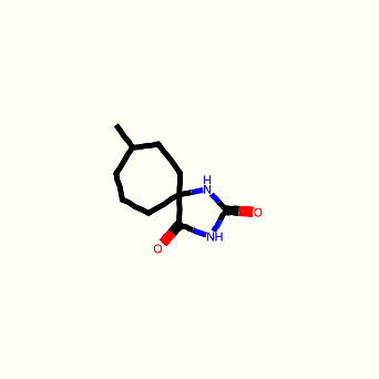 CC1CCCC2(CC1)NC(=O)NC2=O